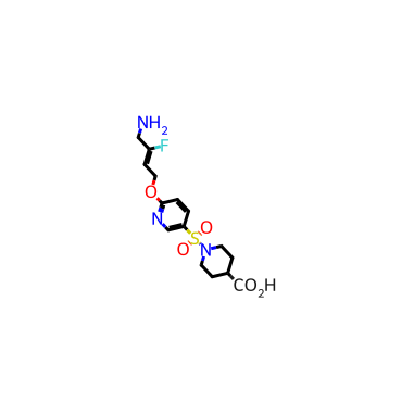 NC/C(F)=C/COc1ccc(S(=O)(=O)N2CCC(C(=O)O)CC2)cn1